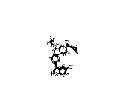 O=C(NCC(F)(F)F)[C@H]1CN(C(=O)C2CC2)CCN1c1ccnc(C2CNc3ncc(Cl)cc32)n1